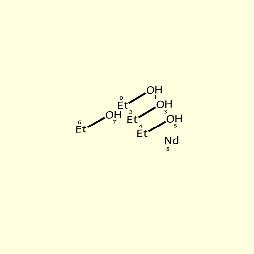 CCO.CCO.CCO.CCO.[Nd]